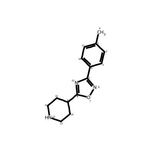 Cc1ccc(-c2noc(C3CCNCC3)n2)cc1